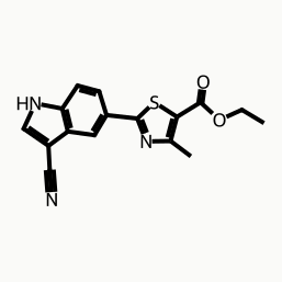 CCOC(=O)c1sc(-c2ccc3[nH]cc(C#N)c3c2)nc1C